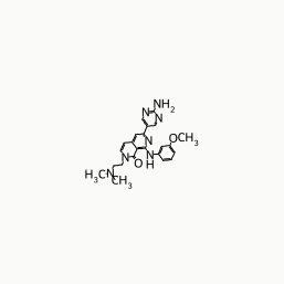 COc1cccc(Nc2nc(-c3cnc(N)nc3)cc3ccn(CCN(C)C)c(=O)c23)c1